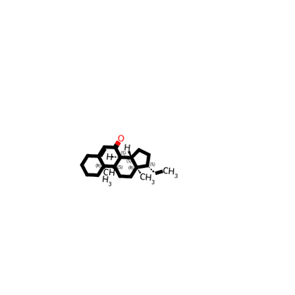 CC[C@H]1CC[C@H]2[C@@H]3C(=O)C=C4CCCC[C@]4(C)[C@H]3CC[C@]12C